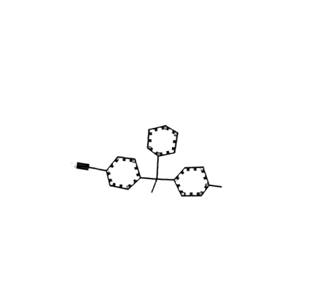 Cc1ccc(C(C)(c2ccccc2)c2ccc(C#N)cc2)cc1